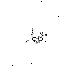 CCCCOc1cc(-c2nccc(C(=O)O)n2)[n+](O)cc1OCCCC